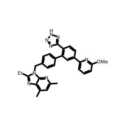 CCc1nc2c(C)cc(C)nc2n1Cc1ccc(-c2cc(-c3cccc(OC)n3)ccc2-c2nn[nH]n2)cc1